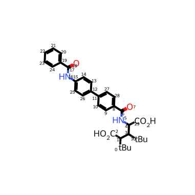 CC(C)(C)C(C(=O)O)C(C(NC(=O)c1ccc(-c2ccc(NC(=O)c3ccccc3)cc2)cc1)C(=O)O)C(C)(C)C